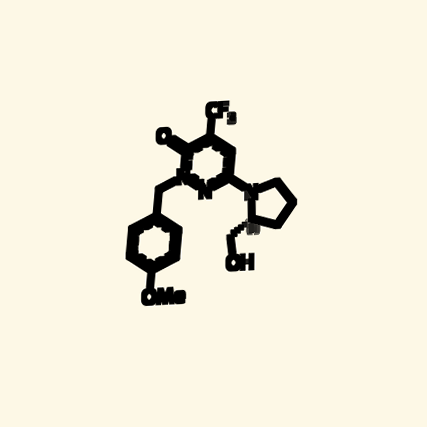 COc1ccc(Cn2nc(N3CCC[C@@H]3CO)cc(C(F)(F)F)c2=O)cc1